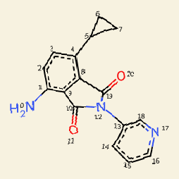 Nc1ccc(C2CC2)c2c1C(=O)N(c1cccnc1)C2=O